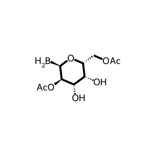 B[C@H]1O[C@H](COC(C)=O)[C@H](O)[C@H](O)[C@H]1OC(C)=O